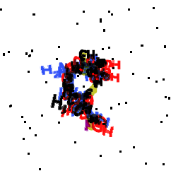 CSC[C@@H]1NC(=O)[C@H](Cc2ccc(O)cc2)NC(=O)[C@H](CCC(=O)O)NC(=O)[C@@H]2CSSC[C@@H](C(=O)N[C@H](C(=O)NCC(=O)N[C@@H](CSI)C(=O)O)[C@@H](C)O)NC(=O)[C@H](C)NC(=O)[C@@H]3CCCN3C(=O)[C@H](CC(N)=O)NC(=O)[C@H](CSSC[C@H](N)C(=O)N2)NC1=O